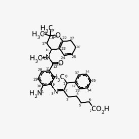 CC(/C(CCCCC(=O)O)=N\c1cc(C(=O)N(C)C2CC(C)(C)OC3=C2C=CCC3)ccc1N)c1ccccc1